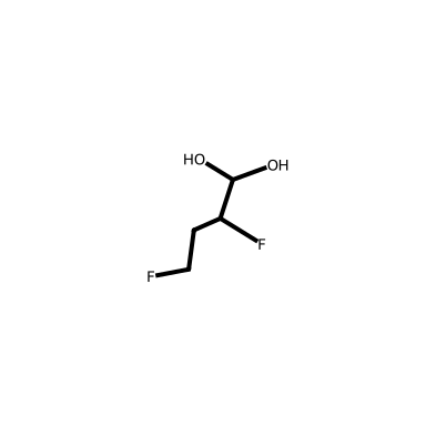 OC(O)C(F)CCF